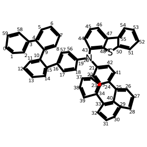 c1ccc(-c2ccccc2-c2ccccc2-c2ccc(N(c3ccc(-c4cccc5cccc(-c6ccccc6)c45)cc3)c3cccc4c3sc3ccccc34)cc2)cc1